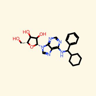 OC[C@H]1O[C@@H](n2cnc3c(NC(c4ccccc4)C4CCCCC4)ncnc32)C(O)C1O